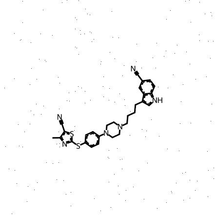 Cc1nc(Sc2ccc(N3CCN(CCCCc4c[nH]c5ccc(C#N)cc45)CC3)cc2)sc1C#N